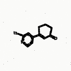 CCc1cc(C2=CC(=O)CCC2)ccn1